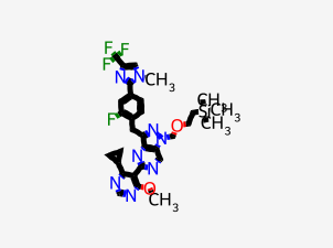 COc1ncnc(C2CC2)c1-c1ncc2c(n1)c(Cc1ccc(-c3nc(C(F)(F)F)cn3C)cc1F)nn2COCC[Si](C)(C)C